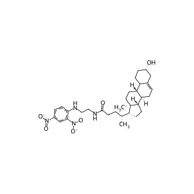 C[C@H](CCC(=O)NCCNc1ccc([N+](=O)[O-])cc1[N+](=O)[O-])[C@H]1CC[C@H]2[C@@H]3CC=C4C[C@@H](O)CCC4[C@H]3CC[C@]12C